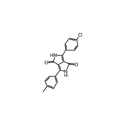 Cc1ccc(C2=C3C(=O)NC(c4ccc(Cl)cc4)=C3C(=O)N2)cc1